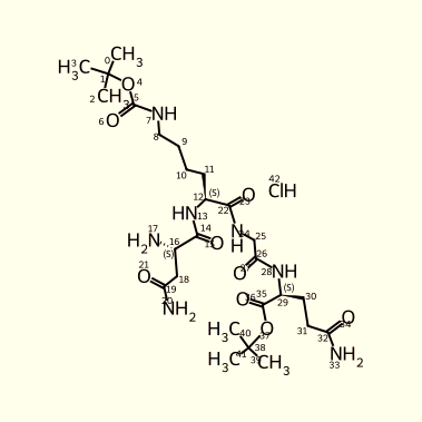 CC(C)(C)OC(=O)NCCCC[C@H](NC(=O)[C@@H](N)CC(N)=O)C(=O)NCC(=O)N[C@@H](CCC(N)=O)C(=O)OC(C)(C)C.Cl